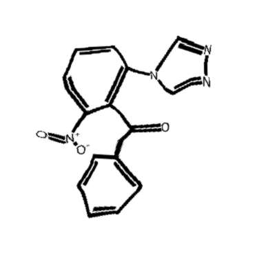 O=C(c1ccccc1)c1c(-n2cnnc2)cccc1[N+](=O)[O-]